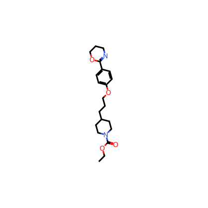 CCOC(=O)N1CCC(CCCOc2ccc(C3=NCCCO3)cc2)CC1